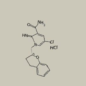 Cl.N=c1c(C(N)=O)cc(Cl)cn1C[C@H]1CCc2ccccc2O1